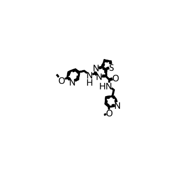 COc1ccc(CNC(=O)c2nc(NCc3ccc(OC)nc3)nc3ccsc23)cn1